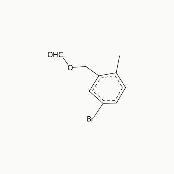 Cc1ccc(Br)cc1COC=O